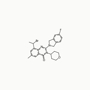 Cc1cc(C(C)Br)c2nc(N3Cc4ccc(F)cc4C3)n(C3CCOCC3)c(=O)c2c1